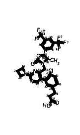 C[C@H]1[C@@H](c2cc(C(F)(F)F)cc(C(F)(F)F)c2)OC(=O)N1Cc1nc(N2CCC2)ncc1-c1cc(CCC(=O)O)ccc1Cl